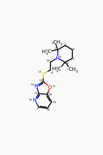 CC1(C)CCCC(C)(C)N1CCSc1nc2ncccc2o1